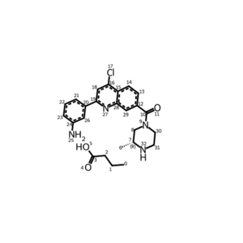 CCCC(=O)O.C[C@@H]1CN(C(=O)c2ccc3c(Cl)cc(-c4cccc(N)c4)nc3c2)CCN1